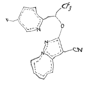 N#Cc1c(OC(c2ccc(F)cn2)C(F)(F)F)nn2ccccc12